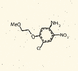 COCCOc1cc(N)c([N+](=O)[O-])cc1Cl